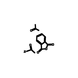 CC(C)=O.C[C](=O)[Zr].O=C1OC(=O)c2ccccc21